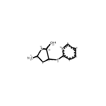 CC1CC(Sc2ccccn2)C(O)S1